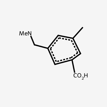 CNCc1cc(C)cc(C(=O)O)c1